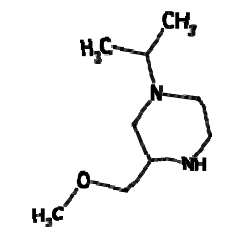 COCC1CN(C(C)C)CCN1